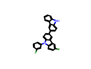 Fc1cccc(-n2c3ccc(F)cc3c3cc(-c4ccc5[nH]c6ccccc6c5c4)ccc32)c1